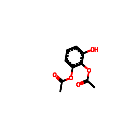 CC(=O)Oc1cccc(O)c1OC(C)=O